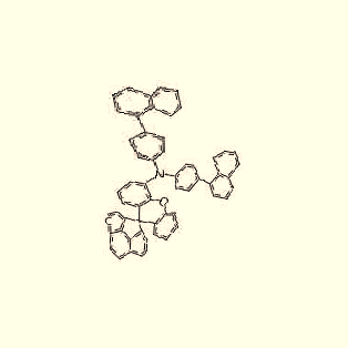 c1ccc2c(c1)Oc1c(N(c3ccc(-c4cccc5ccccc45)cc3)c3ccc(-c4cccc5ccccc45)cc3)cccc1C21c2cccc3ccc4cccc1c4c23